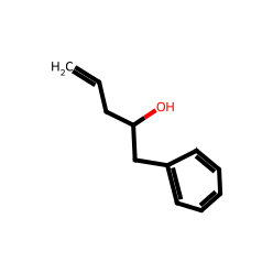 C=CCC(O)Cc1[c]cccc1